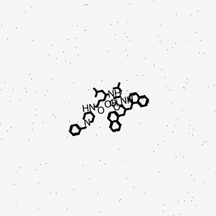 CC(C)CC(NC(=O)[C@H](CC(C)C)NC(=O)C(Cc1cccc2ccccc12)Cc1cccc2ccccc12)C(O)CC(=O)NC1CCN(Cc2ccccc2)CC1